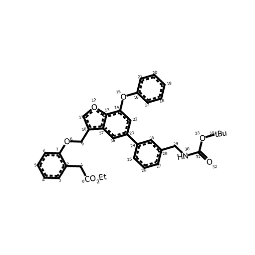 CCOC(=O)Cc1ccccc1OCc1coc2c(Oc3ccccc3)cc(-c3cccc(CNC(=O)OC(C)(C)C)c3)cc12